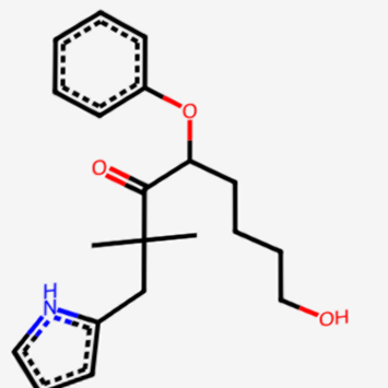 CC(C)(Cc1ccc[nH]1)C(=O)C(CCCCO)Oc1ccccc1